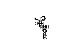 C=CCn1c(=O)c2cnc(Nc3ccc(-n4cnc(C)c4)cc3)nc2n1-c1ccccn1